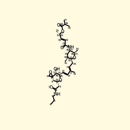 CCCNC(=O)C[C@@H]1C[C@@]2(CO2)[C@H](O)[C@@H](C=CC(C)=CC[C@@H]2O[C@H](C)[C@H](NC(=O)C=C[C@H](C)OC(=O)C(C)C)C[C@@H]2C)O1